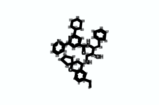 CCc1ccc2c(c1)[C@@H](NC[C@@H](O)[C@H](Cc1ccccc1)NC(=O)c1cc(-c3ccccn3)nc(C3CCCCC3)c1)CC1(CCCC1)O2